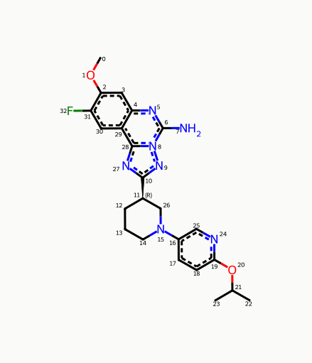 COc1cc2nc(N)n3nc([C@@H]4CCCN(c5ccc(OC(C)C)nc5)C4)nc3c2cc1F